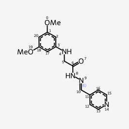 COc1cc(NCC(=O)N/N=C/c2ccncc2)cc(OC)c1